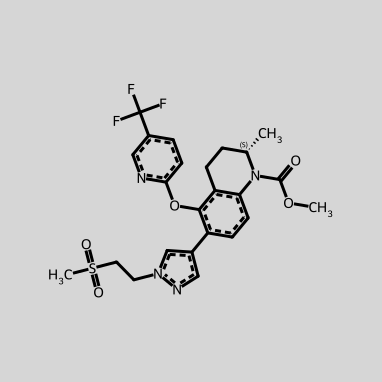 COC(=O)N1c2ccc(-c3cnn(CCS(C)(=O)=O)c3)c(Oc3ccc(C(F)(F)F)cn3)c2CC[C@@H]1C